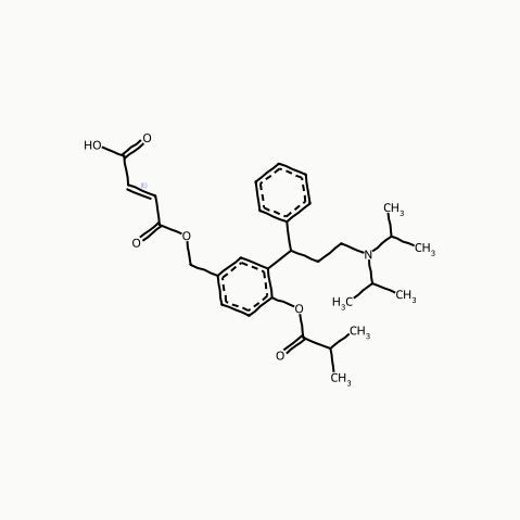 CC(C)C(=O)Oc1ccc(COC(=O)/C=C/C(=O)O)cc1C(CCN(C(C)C)C(C)C)c1ccccc1